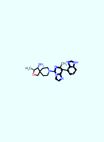 Cc1nc(N2CCC3(CC2)CO[C@@H](C)[C@H]3N)n2ccnc2c1-c1cccc2[nH]cnc12